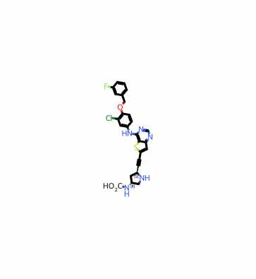 O=C(O)N[C@H]1CN[C@H](C#Cc2cc3ncnc(Nc4ccc(OCc5cccc(F)c5)c(Cl)c4)c3s2)C1